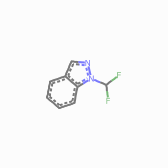 FC(F)n1ncc2ccccc21